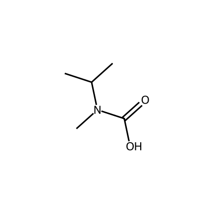 CC(C)N(C)C(=O)O